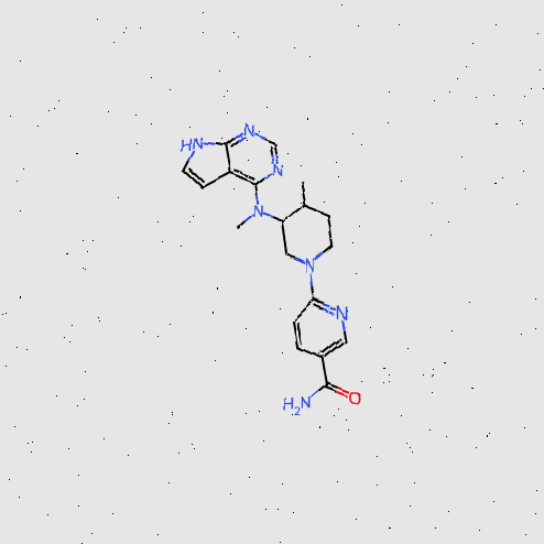 CC1CCN(c2ccc(C(N)=O)cn2)CC1N(C)c1ncnc2[nH]ccc12